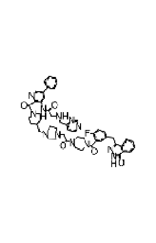 O=C(CNCc1ccncn1)Nc1cc(-c2ccccc2)cnc1C(=O)N1CCC(CN2CCN(CC(=O)N3CCN(C(=O)c4cc(Cc5n[nH]c(=O)c6ccccc56)ccc4F)CC3)CC2)CC1